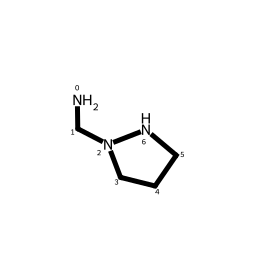 NCN1CCCN1